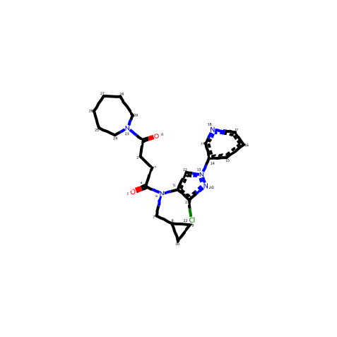 O=C(CCC(=O)N(CC1CC1)c1cn(-c2cccnc2)nc1Cl)N1CCCCCC1